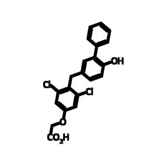 O=C(O)COc1cc(Cl)c(Cc2ccc(O)c(-c3ccccc3)c2)c(Cl)c1